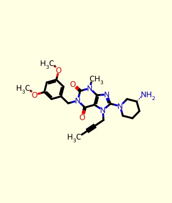 CC#CCn1c(N2CCC[C@@H](N)C2)nc2c1c(=O)n(Cc1cc(OC)cc(OC)c1)c(=O)n2C